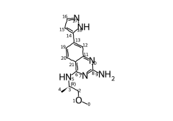 COC[C@@H](C)Nc1nc(N)nc2cc(-c3ccn[nH]3)ccc12